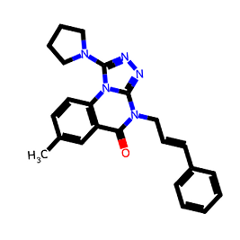 Cc1ccc2c(c1)c(=O)n(CC=Cc1ccccc1)c1nnc(N3CCCC3)n21